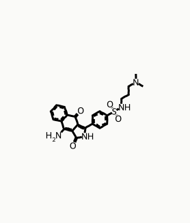 CN(C)CCCNS(=O)(=O)c1ccc(C2=C3C(=O)c4ccccc4C(N)=C3C(=O)N2)cc1